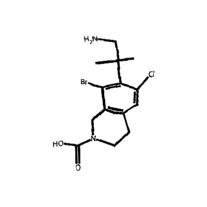 CC(C)(CN)c1c(Cl)cc2c(c1Br)CN(C(=O)O)CC2